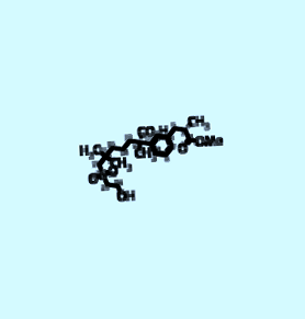 COC(=O)[C@@H](C)Cc1cccc([C@@](C)(CCCC(C)(C)CS(=O)(=O)CCO)C(=O)O)c1